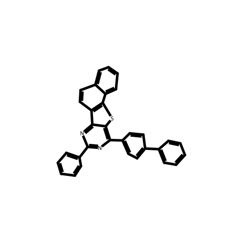 c1ccc(-c2ccc(-c3nc(-c4ccccc4)nc4c3sc3c5ccccc5ccc43)cc2)cc1